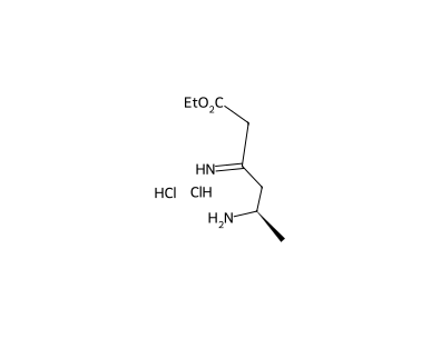 CCOC(=O)CC(=N)C[C@@H](C)N.Cl.Cl